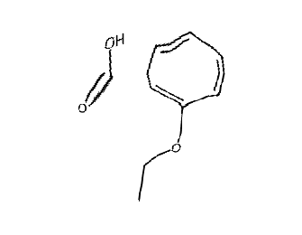 CCOc1ccccc1.O=CO